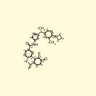 Cc1nc([C@@H](C)n2cc(NC(=O)c3cncc(-c4c(C(F)F)ccc(Cl)c4F)n3)cn2)cnc1N1CCC1